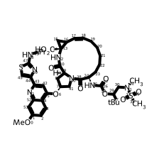 COc1ccc2c(O[C@@H]3C[C@H]4C(=O)N[C@]5(C(=O)O)CC5/C=C\CCCCC[C@H](NC(=O)OC(CN(C)S(C)(=O)=O)C(C)(C)C)C(=O)N4C3)cc(-c3csc(NC(C)C)n3)nc2c1